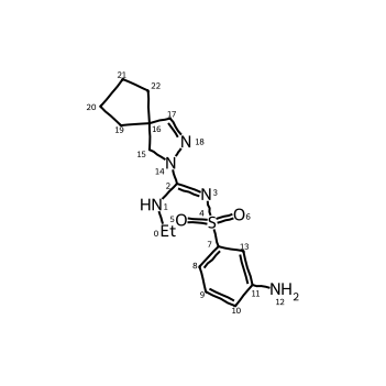 CCN/C(=N\S(=O)(=O)c1cccc(N)c1)N1CC2(C=N1)CCCC2